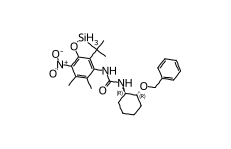 Cc1c(C)c([N+](=O)[O-])c(O[SiH3])c(C(C)(C)C)c1NC(=O)N[C@@H]1CCCC[C@H]1OCc1ccccc1